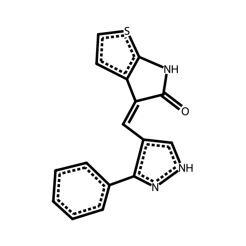 O=C1Nc2sccc2C1=Cc1c[nH]nc1-c1ccccc1